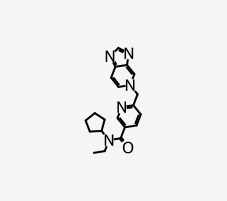 CCN(C(=O)c1ccc(Cn2ccc3ncnc-3c2)nc1)C1CCCC1